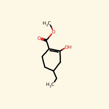 CCC1CCC(C(=O)OC)=C(O)C1